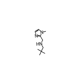 Cn1ccnc1CNCC(C)(C)C